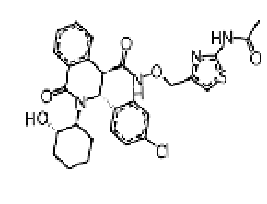 CC(=O)Nc1nc(CONC(=O)[C@@H]2c3ccccc3C(=O)N([C@H]3CCCC[C@@H]3O)[C@H]2c2ccc(Cl)cc2)cs1